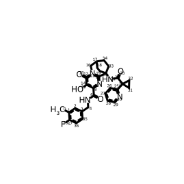 Cc1cc(CNC(=O)c2nc3n(c(=O)c2O)CC2CCC3(NC(=O)C3(c4ccccn4)CC3)CC2)ccc1F